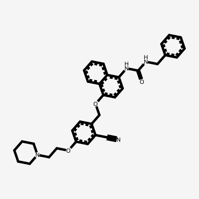 N#Cc1cc(OCCN2CCCCC2)ccc1COc1ccc(NC(=O)NCc2ccccc2)c2ccccc12